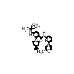 C[C@@H]1CN(c2cccc(NC(=O)c3ccc(NC(C)(CO)CO)nc3N3CCC4(CC3)CC4)n2)CCO1